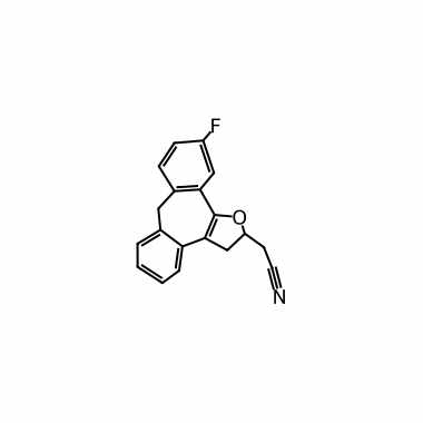 N#CCC1CC2=C(O1)c1cc(F)ccc1Cc1ccccc12